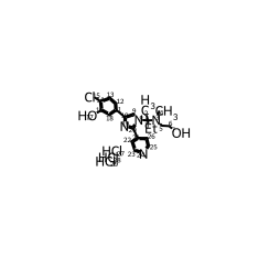 CCC(C)(N(C)CCO)n1cc(-c2ccc(Cl)c(O)c2)nc1-c1ccncc1.Cl.Cl.Cl